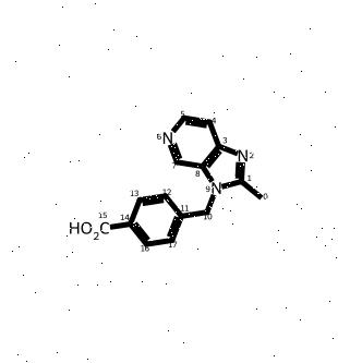 Cc1nc2ccncc2n1Cc1ccc(C(=O)O)cc1